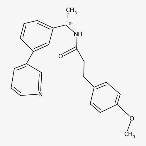 COc1ccc(CCC(=O)N[C@@H](C)c2cccc(-c3cccnc3)c2)cc1